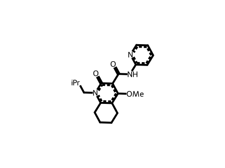 COc1c2c(n(CC(C)C)c(=O)c1C(=O)Nc1ccccn1)CCCC2